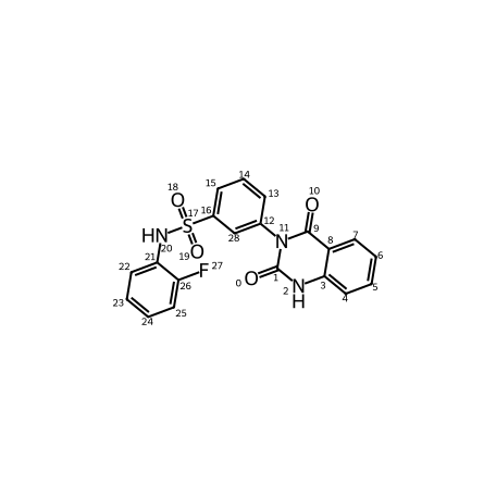 O=c1[nH]c2ccccc2c(=O)n1-c1cccc(S(=O)(=O)Nc2ccccc2F)c1